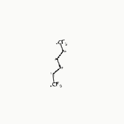 FC(F)(F)[CH]CCCC(F)(F)F